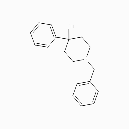 CC1(c2ccccc2)CCN(Cc2ccccc2)CC1.[H+]